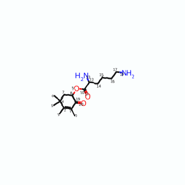 CC1=C(C)C(C)(C)CC(OC(=O)C(N)CCCCN)C1=O